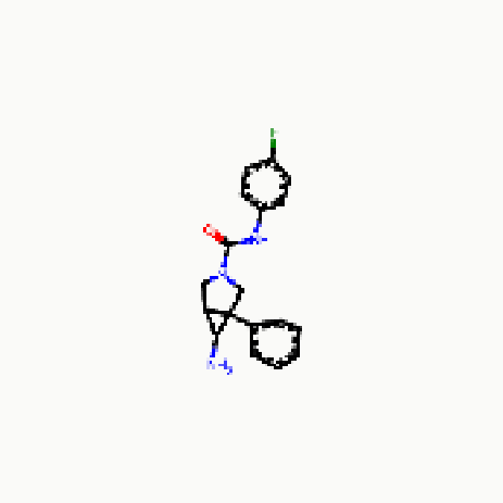 NC1C2CN(C(=O)Nc3ccc(F)cc3)CC12c1ccccc1